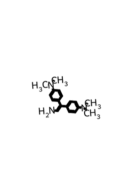 CN(C)c1ccc(C(=CN)c2ccc(N(C)C)cc2)cc1